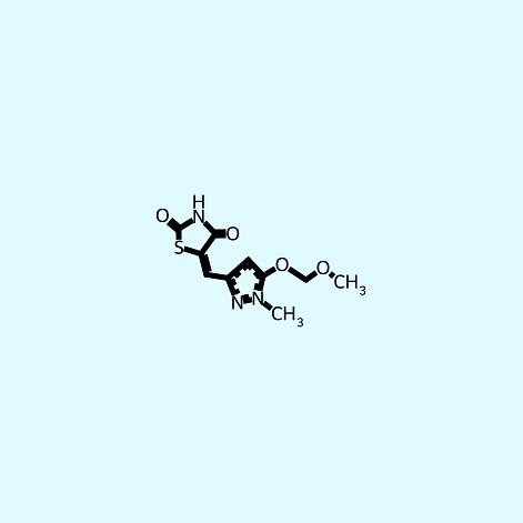 COCOc1cc(C=C2SC(=O)NC2=O)nn1C